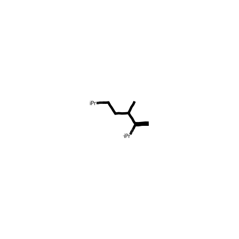 C=C([C](C)C)C(C)CCC(C)C